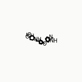 CC(C)(C)OC1CCC(NCc2ccc(Oc3ccc4nc[nH]c4c3)cc2)CC1